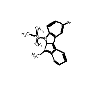 CC1=c2ccccc2=C2c3cc(Br)ccc3N([Si](C)(C)C)C12